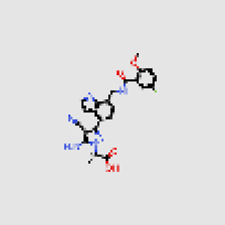 COc1ccc(F)cc1C(=O)NCc1ccc(-c2nn([C@@H](C)C(=O)O)c(N)c2C#N)c2cc[nH]c12